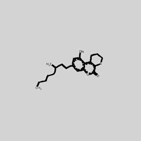 CCCCCC(C)CCc1cc(O)c2c3c(c(=O)oc2c1)SCCC3